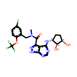 CN(Cc1cc(F)ccc1OC(F)(F)F)C(=O)c1n[nH]c2ncnc(N[C@@H]3CC[C@@H](O)[C@H]3O)c12